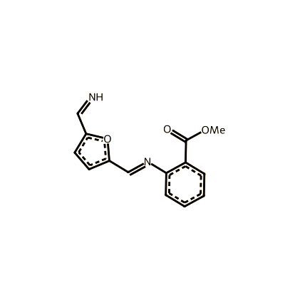 COC(=O)c1ccccc1N=Cc1ccc(C=N)o1